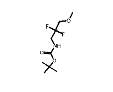 COCC(F)(F)CNC(=O)OC(C)(C)C